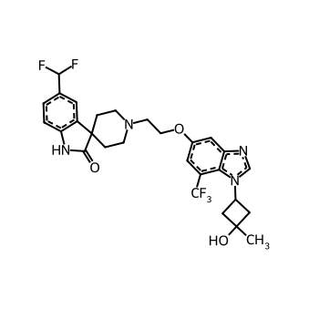 CC1(O)CC(n2cnc3cc(OCCN4CCC5(CC4)C(=O)Nc4ccc(C(F)F)cc45)cc(C(F)(F)F)c32)C1